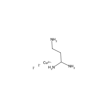 NCCC(N)N.[Cu+2].[I-].[I-]